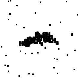 Cc1ccc2c3c(cccc13)C(/C=C/C1=C(Cl)C(=C/C=c3/c4cccc5c(S(=O)(=O)O)ccc(c54)n3C)/C3CCC1C3)N2C